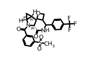 CS(=O)(=O)c1cccc(C(=O)N2[C@@H](C(=O)NC(c3ccc(C(F)(F)F)cc3)C3COC3)C[C@H]3C[C@H]32)c1